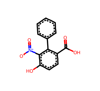 O=C(O)c1ccc(O)c([N+](=O)[O-])c1-c1ccccc1